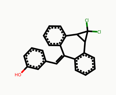 Oc1cccc(C=C2c3ccccc3C3C(c4ccccc42)C3(Cl)Cl)c1